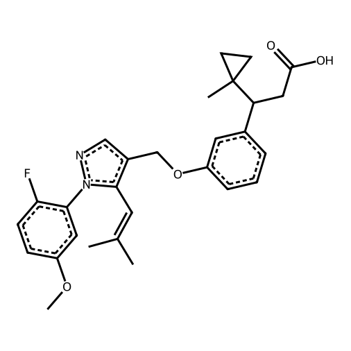 COc1ccc(F)c(-n2ncc(COc3cccc(C(CC(=O)O)C4(C)CC4)c3)c2C=C(C)C)c1